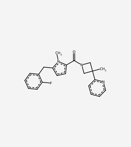 Cn1c(Cc2ccccc2F)ccc1C(=O)N1CC(C)(c2ccccn2)C1